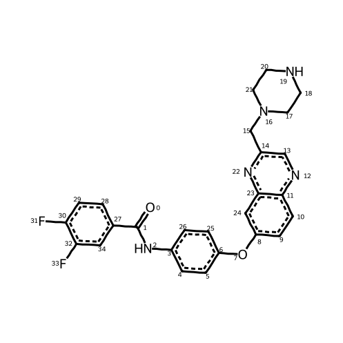 O=C(Nc1ccc(Oc2ccc3ncc(CN4CCNCC4)nc3c2)cc1)c1ccc(F)c(F)c1